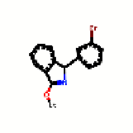 CCOC1=NC(c2cccc(Br)c2)c2ccccc21